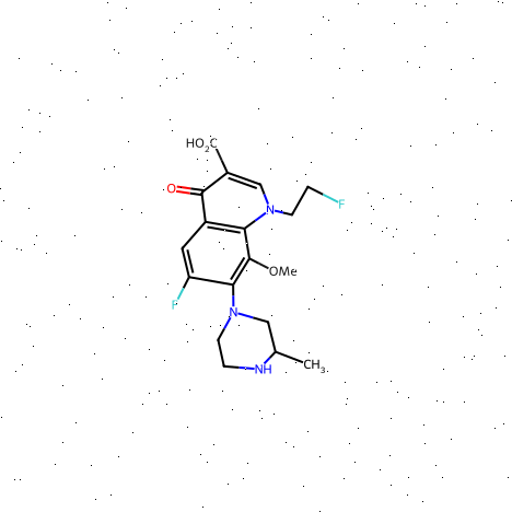 COc1c(N2CCNC(C)C2)c(F)cc2c(=O)c(C(=O)O)cn(CCF)c12